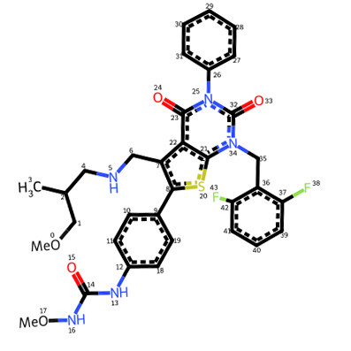 COCC(C)CNCc1c(-c2ccc(NC(=O)NOC)cc2)sc2c1c(=O)n(-c1ccccc1)c(=O)n2Cc1c(F)cccc1F